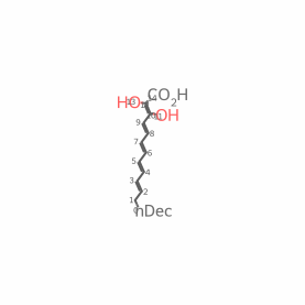 CCCCCCCCCCCC=CC=CC=CC=CC(O)=C(O)C(=O)O